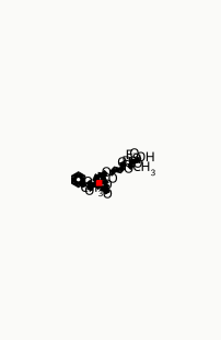 CC(OC(=O)CCC(=O)OC1C2CC3C1OC(=O)C3C2C(=O)OC1(C)CCCCC1)C(F)(F)S(=O)(=O)O